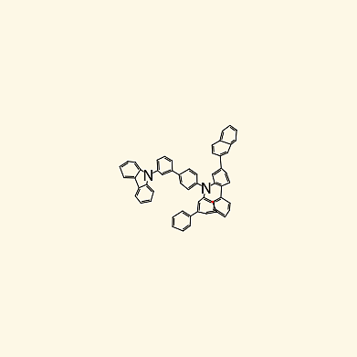 c1ccc(-c2cccc(N(c3ccc(-c4cccc(-n5c6ccccc6c6ccccc65)c4)cc3)c3cc(-c4ccc5ccccc5c4)ccc3-c3ccccc3)c2)cc1